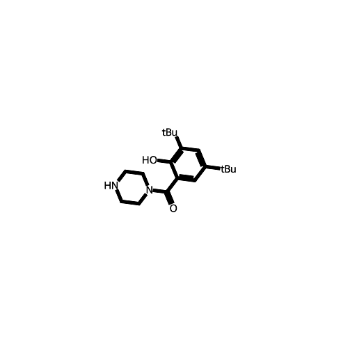 CC(C)(C)c1cc(C(=O)N2CCNCC2)c(O)c(C(C)(C)C)c1